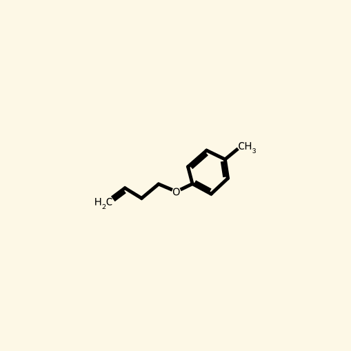 C=CCCOc1ccc(C)cc1